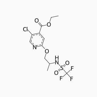 CCOC(=O)c1cc(OCC(C)NS(=O)(=O)C(F)(F)F)ncc1Cl